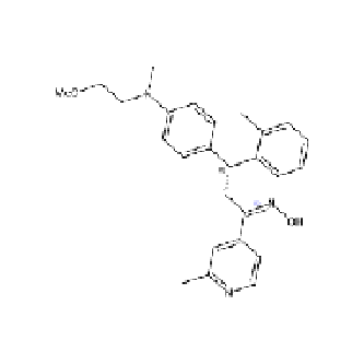 COCCN(C)c1ccc([C@@H](C/C(=N/O)c2ccnc(C)c2)c2ccccc2C)cc1